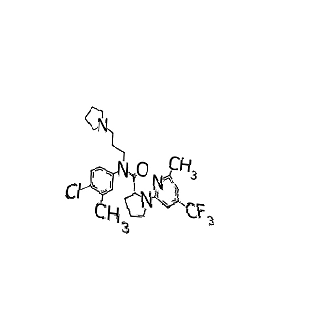 Cc1cc(C(F)(F)F)cc(N2CCC[C@H]2C(=O)N(CCCN2CCCC2)c2ccc(Cl)c(C)c2)n1